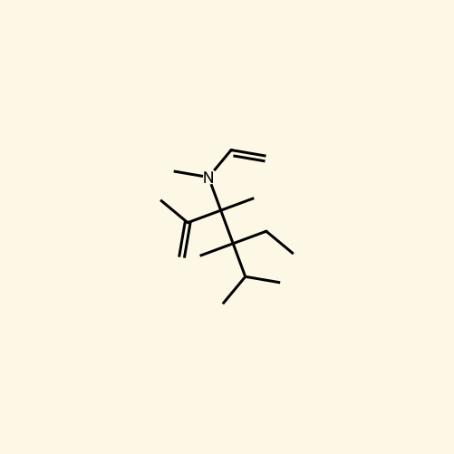 C=CN(C)C(C)(C(=C)C)C(C)(CC)C(C)C